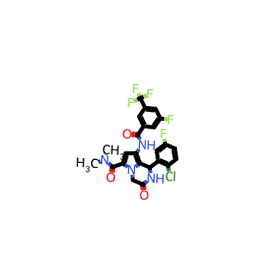 CN(C)C(=O)c1cc(NC(=O)c2cc(F)cc(C(F)(F)F)c2)c2n1CC(=O)NC2c1cc(F)ccc1Cl